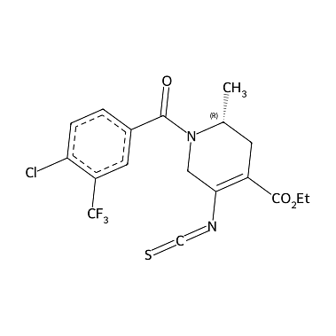 CCOC(=O)C1=C(N=C=S)CN(C(=O)c2ccc(Cl)c(C(F)(F)F)c2)[C@H](C)C1